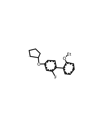 CCOc1ccccc1-c1ccc(OC2[CH]CCC2)cc1F